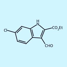 CCOC(=O)c1[nH]c2cc(Cl)ccc2c1C=O